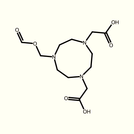 O=COCN1CCN(CC(=O)O)CCN(CC(=O)O)CC1